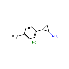 Cl.NC1CC1c1ccc(C(=O)O)cc1